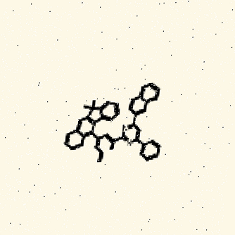 C=C/C=C(\C=C(/C)c1nc(-c2ccccc2)cc(-c2ccc3ccccc3c2)n1)c1c2c(cc3ccccc13)C(C)(C)c1ccccc1-2